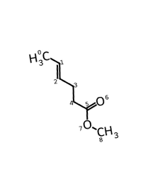 C/C=C/CCC(=O)OC